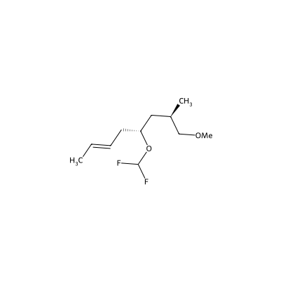 C/C=C/C[C@H](C[C@@H](C)COC)OC(F)F